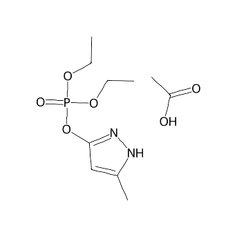 CC(=O)O.CCOP(=O)(OCC)Oc1cc(C)[nH]n1